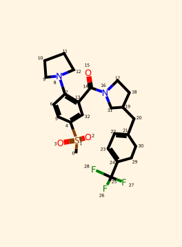 CS(=O)(=O)c1ccc(N2CCCC2)c(C(=O)N2CCC(CC3=CC=C(C(F)(F)F)CC3)C2)c1